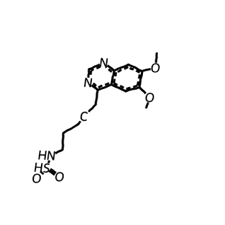 COc1cc2ncnc(CCCCCN[SH](=O)=O)c2cc1OC